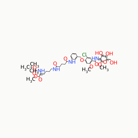 COC(=O)[C@H](CCCCNC(=O)CCCC(=O)Nc1cccc(COc2cc(OC)c(C(=O)N[C@H]3[C@@H](OC)O[C@H](CO)[C@@H](O)[C@@H]3O)cc2Cl)c1)NC(=O)OC(C)(C)C